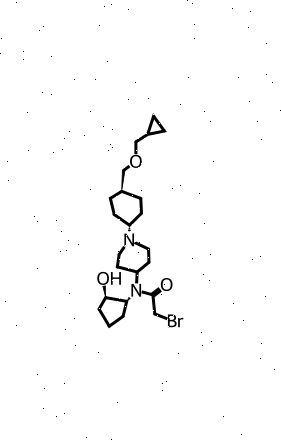 O=C(CBr)N(C1CCN([C@H]2CC[C@H](COCC3CC3)CC2)CC1)[C@@H]1CCC[C@H]1O